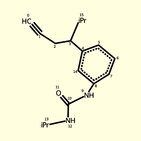 C#CCC(c1cccc(NC(=O)NC(C)C)c1)C(C)C